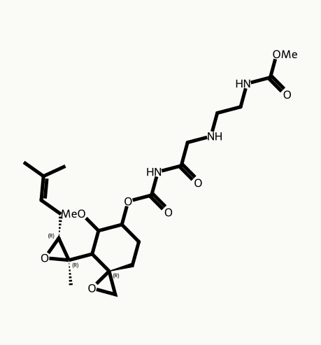 COC(=O)NCCNCC(=O)NC(=O)OC1CC[C@]2(CO2)C([C@@]2(C)O[C@@H]2CC=C(C)C)C1OC